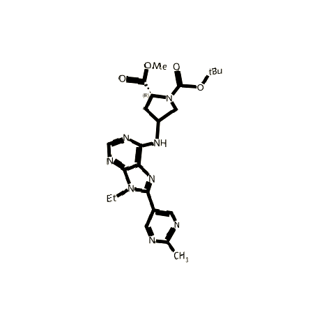 CCn1c(-c2cnc(C)nc2)nc2c(NC3C[C@H](C(=O)OC)N(C(=O)OC(C)(C)C)C3)ncnc21